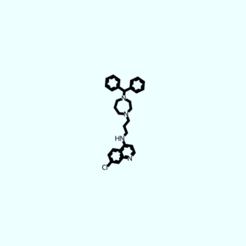 Clc1ccc2c(NCCCN3CCCN(C(c4ccccc4)c4ccccc4)CC3)ccnc2c1